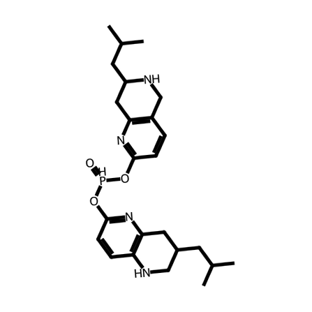 CC(C)CC1CNc2ccc(O[PH](=O)Oc3ccc4c(n3)CC(CC(C)C)NC4)nc2C1